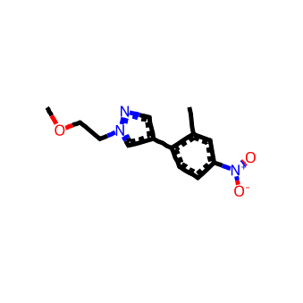 COCCn1cc(-c2ccc([N+](=O)[O-])cc2C)cn1